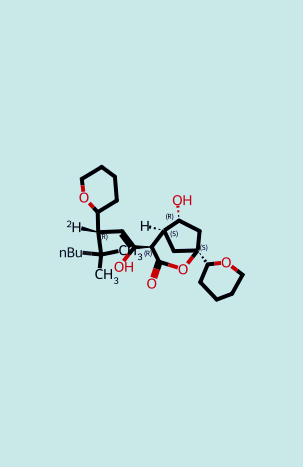 [2H][C@](C=C(O)[C@@H]1C(=O)O[C@@]2(C3CCCCO3)C[C@@H]1[C@H](O)C2)(C1CCCCO1)C(C)(C)CCCC